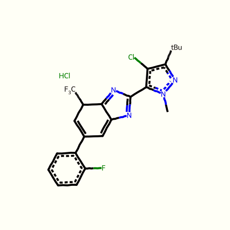 Cl.Cn1nc(C(C)(C)C)c(Cl)c1C1=NC2=CC(c3ccccc3F)=CC(C(F)(F)F)C2=N1